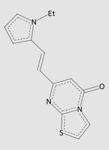 CCn1cccc1/C=C/c1cc(=O)n2ccsc2n1